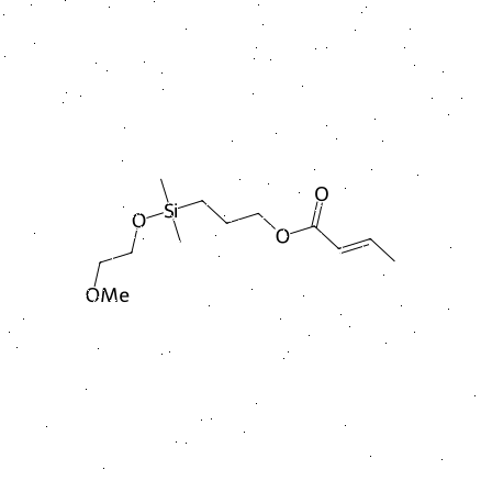 CC=CC(=O)OCCC[Si](C)(C)OCCOC